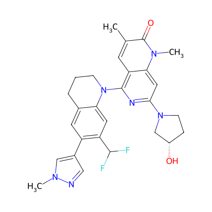 Cc1cc2c(N3CCCc4cc(-c5cnn(C)c5)c(C(F)F)cc43)nc(N3CC[C@H](O)C3)cc2n(C)c1=O